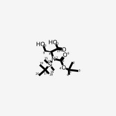 CC(C)(C)OC(=O)N([C@@H](CO)C(=O)O)[Si](C)(C)C(C)(C)C